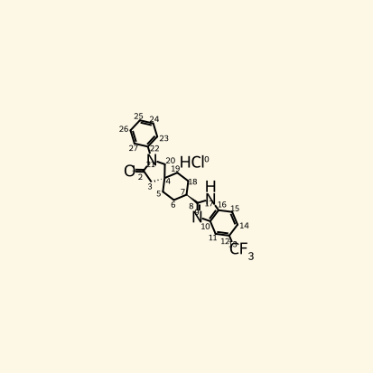 Cl.O=C1C[C@]2(CC[C@H](c3nc4cc(C(F)(F)F)ccc4[nH]3)CC2)CN1c1ccccc1